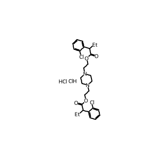 CCC(C(=O)OCCN1CCN(CCOC(=O)C(CC)c2ccccc2Cl)CC1)c1ccccc1Cl.Cl.Cl